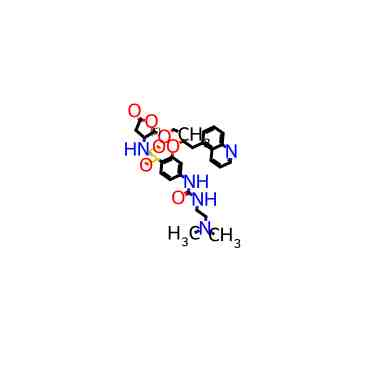 CCO[C@H]1OC(=O)CC1NS(=O)(=O)c1ccc(NC(=O)NCCN(C)C)cc1OCCc1cccc2ncccc12